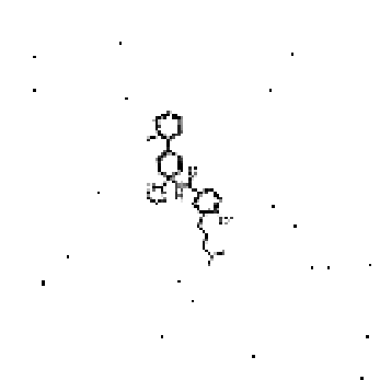 COc1ccc(C(=O)NC2(C3OCCS3)C=CC(c3ccccc3C)=CC2)cc1CCCN(C)C